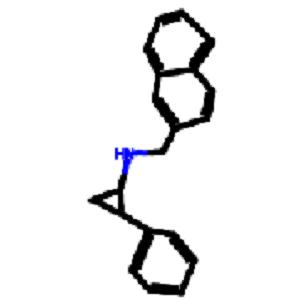 c1ccc(C2CC2NCc2ccc3ccccc3c2)cc1